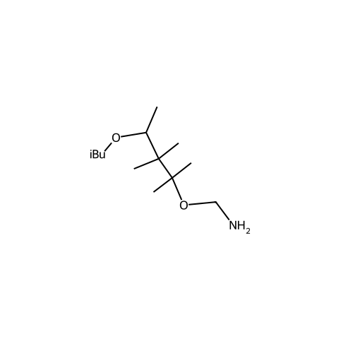 CCC(C)OC(C)C(C)(C)C(C)(C)OCN